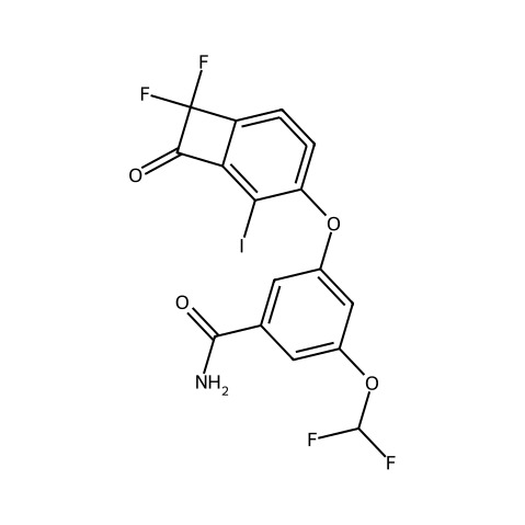 NC(=O)c1cc(OC2=C=C=C3C(=C2I)C(=O)C3(F)F)cc(OC(F)F)c1